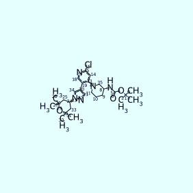 CC(C)(C)OC(=O)N[C@H]1CCCN(c2cc(Cl)ncc2-c2cnn(C3CC(C)(C)OC(C)(C)C3)c2)C1